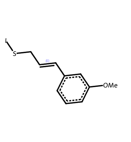 COc1cccc(/C=C/CSI)c1